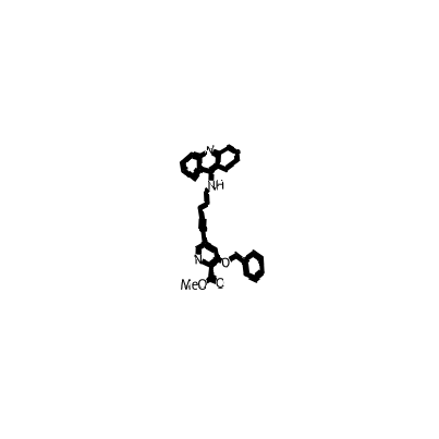 COC(=O)c1ncc(C#CCCCNc2c3c(nc4ccccc24)CCCC3)cc1OCc1ccccc1